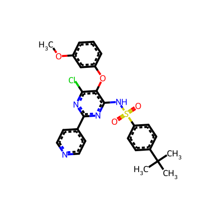 COc1cccc(Oc2c(Cl)nc(-c3ccncc3)nc2NS(=O)(=O)c2ccc(C(C)(C)C)cc2)c1